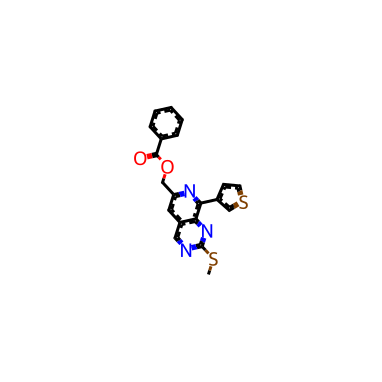 CSc1ncc2cc(COC(=O)c3ccccc3)nc(-c3ccsc3)c2n1